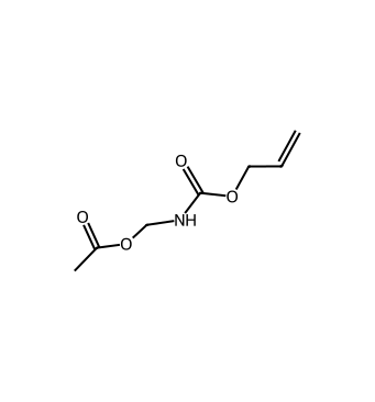 C=CCOC(=O)NCOC(C)=O